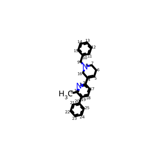 Cc1nc(C2=CCCN(Cc3ccccc3)C2)ccc1-c1ccccc1